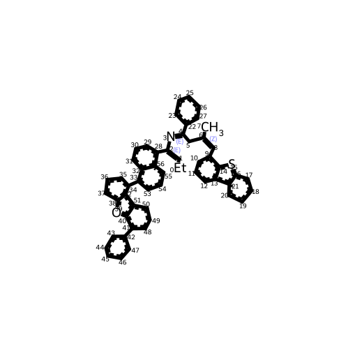 CC/C=C(/N=C(\C/C(C)=C\c1cccc2c1sc1ccccc12)c1ccccc1)c1cccc2c(-c3cccc4oc5c(-c6ccccc6)cccc5c34)cccc12